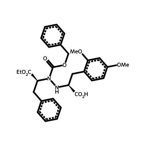 CCOC(=O)[C@H](Cc1ccccc1)N(N[C@@H](Cc1ccc(OC)cc1OC)C(=O)O)C(=O)OCc1ccccc1